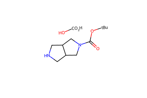 CC(C)(C)OC(=O)N1CC2CNCC2C1.O=C(O)O